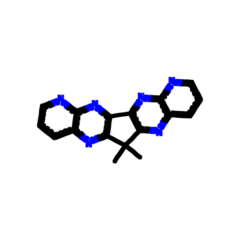 CC1(C)c2nc3cccnc3nc2-c2nc3ncccc3nc21